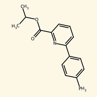 CC(C)OC(=O)c1cccc(-c2ccc(P)cc2)n1